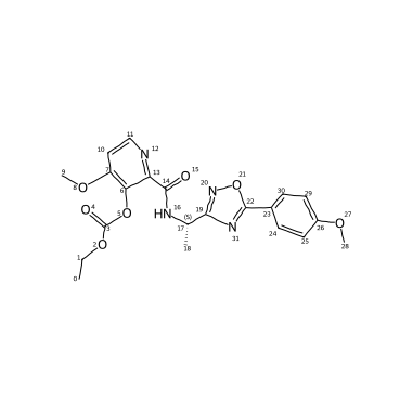 CCOC(=O)Oc1c(OC)ccnc1C(=O)N[C@@H](C)c1noc(-c2ccc(OC)cc2)n1